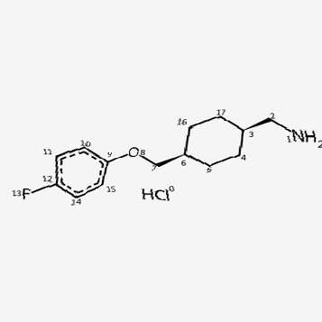 Cl.NC[C@H]1CC[C@@H](COc2ccc(F)cc2)CC1